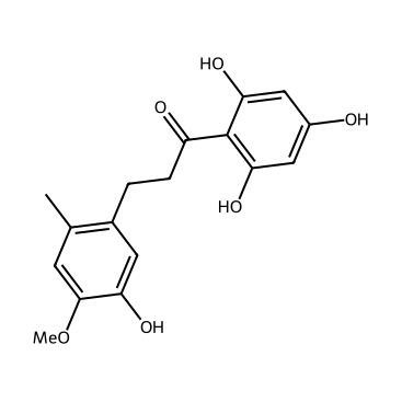 COc1cc(C)c(CCC(=O)c2c(O)cc(O)cc2O)cc1O